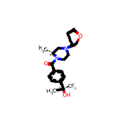 C[C@@H]1CN(C2CCOC2)CCN1C(=O)c1ccc([C@](C)(O)C(F)(F)F)cc1